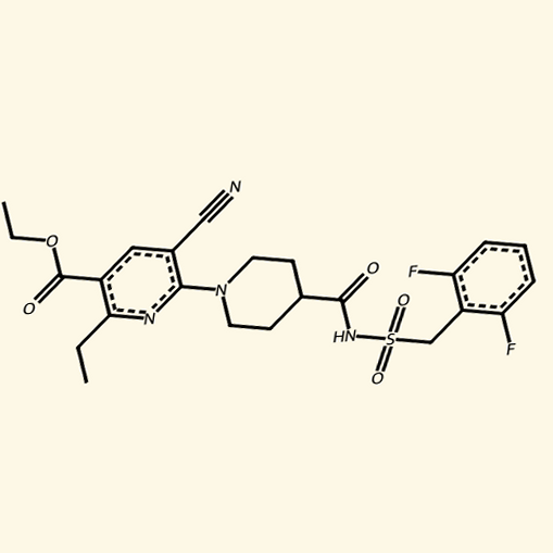 CCOC(=O)c1cc(C#N)c(N2CCC(C(=O)NS(=O)(=O)Cc3c(F)cccc3F)CC2)nc1CC